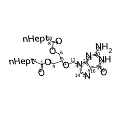 CCCCCCCC(=O)OCC(COC(=O)CCCCCCC)OCn1cnc2c(=O)[nH]c(N)nc21